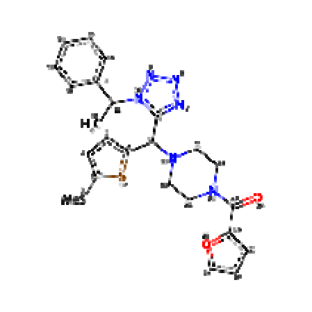 CSc1ccc(C(c2nnnn2C(C)c2ccccc2)N2CCN(C(=O)c3ccco3)CC2)s1